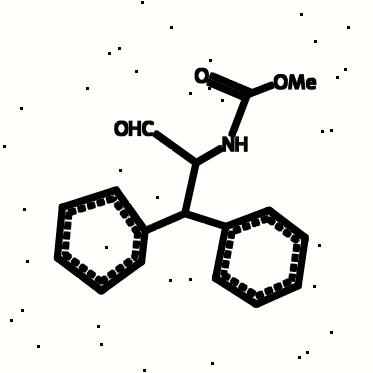 COC(=O)NC(C=O)C(c1ccccc1)c1ccccc1